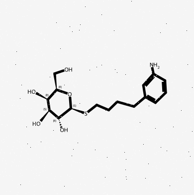 Nc1cccc(CCCCS[C@@H]2O[C@H](CO)[C@H](O)[C@H](O)[C@H]2O)c1